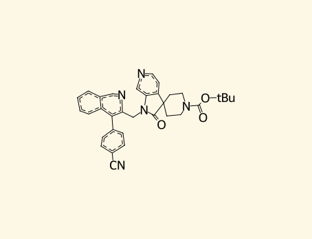 CC(C)(C)OC(=O)N1CCC2(CC1)C(=O)N(Cc1ncc3ccccc3c1-c1ccc(C#N)cc1)c1cnccc12